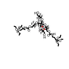 CCO[Si](CCCNC(=O)OCC(F)(F)C(F)(F)OC(F)(F)C(C(F)(F)OC(F)(F)C(F)(F)CO)(C(F)(F)OC(F)(F)C(F)(F)CO)C(F)(F)OC(F)(F)C(F)(F)COC(=O)NCCC[Si](OCC)(OCC)OCC)(OCC)OCC